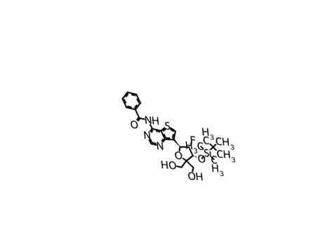 CC(C)(C)[Si](C)(C)O[C@H]1[C@@H](F)[C@H](c2csc3c(NC(=O)c4ccccc4)ncnc23)OC1(CO)CO